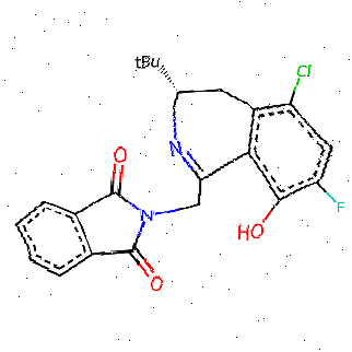 CC(C)(C)[C@@H]1Cc2c(Cl)cc(F)c(O)c2C(CN2C(=O)c3ccccc3C2=O)=N1